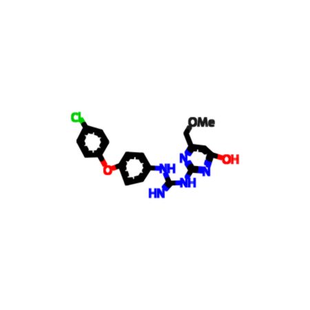 COCc1cc(O)nc(NC(=N)Nc2ccc(Oc3ccc(Cl)cc3)cc2)n1